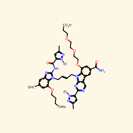 CCn1nc(C)cc1C(=O)Nc1nc2cc(C=O)cc(OCCCOC)c2n1C/C=C/Cn1c2nc(-c3cc(C)nn3CC)ncc2c2cc(C(N)=O)cc(OCCOCCOCCC(=O)O)c21